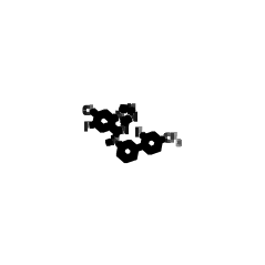 CN(c1cccc(-c2ccc(C(F)(F)F)cc2F)c1)c1nc2nncn2c2cc(Cl)c(F)cc12